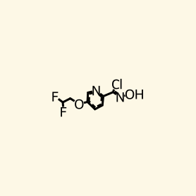 ON=C(Cl)c1ccc(OCC(F)F)cn1